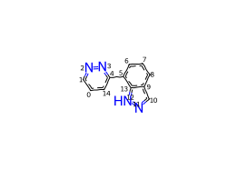 c1cnnc(-c2cccc3cn[nH]c23)c1